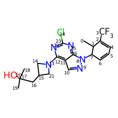 CC1C(C(F)(F)F)=CC=CC1n1ncc2c(N3CC(CC(C)(C)O)C3)nc(Cl)nc21